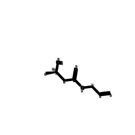 C=CCOC(=O)C[C@@H](C)O